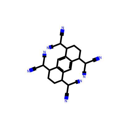 N#CC(C#N)C1CCC(C(C#N)C#N)c2cc3c(cc21)C(C(C#N)C#N)CCC3C(C#N)C#N